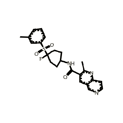 Cc1cccc(S(=O)(=O)C2(F)CCC(NC(=O)c3cc4cnccc4nc3C)CC2)c1